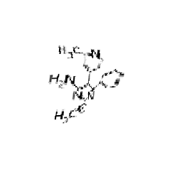 COc1nc(N)c(-c2ccnc(C)c2)c(-c2ccccc2)n1